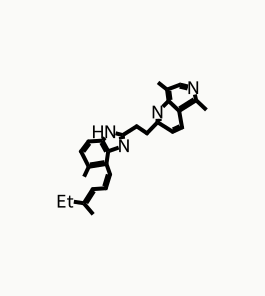 CC/C(C)=C/C=C\c1c(C)ccc2[nH]c(CCc3ccc4c(C)ncc(C)c4n3)nc12